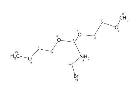 COCCOC(OCCOC)[SiH2]CBr